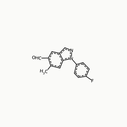 Cc1cc2c(cnn2-c2ccc(F)cc2)cc1C=O